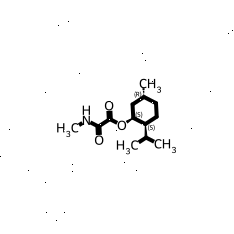 CNC(=O)C(=O)O[C@H]1C[C@H](C)CC[C@H]1C(C)C